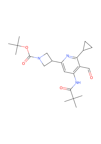 CC(C)(C)OC(=O)N1CC(c2cc(NC(=O)C(C)(C)C)c(C=O)c(C3CC3)n2)C1